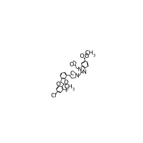 COC(=O)c1ccc2nc(CN3CCC(c4cccc5c4OC(C)(c4ccc(Cl)cc4F)C5=O)CC3)n(CC3CCO3)c2c1